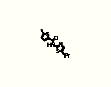 Cc1ccc(C(=O)Nc2ncc(C(C)C)s2)s1